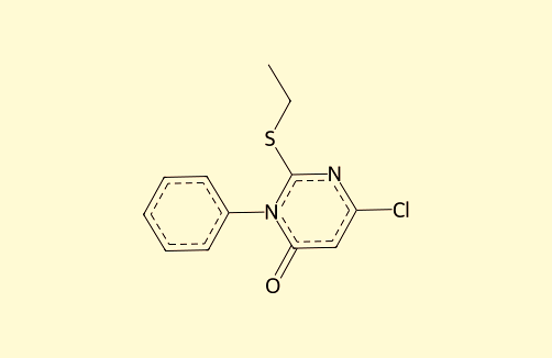 CCSc1nc(Cl)cc(=O)n1-c1ccccc1